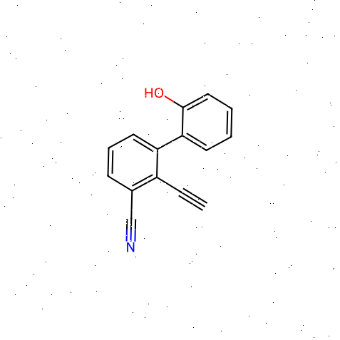 C#Cc1c(C#N)cccc1-c1ccccc1O